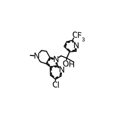 CN1CCc2c(c3cc(Cl)cnc3n2CC(C)(O)c2ccc(C(F)(F)F)nc2)C1